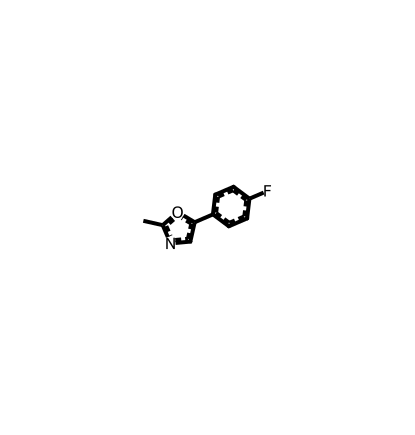 Cc1ncc(-c2ccc(F)cc2)o1